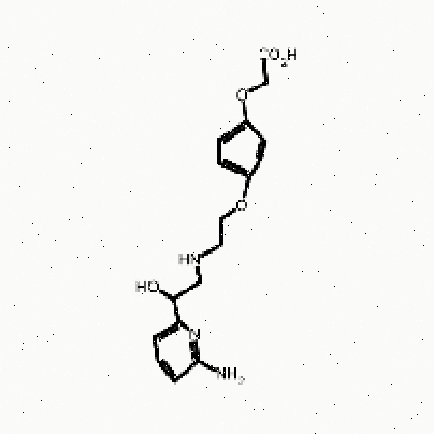 Nc1cccc(C(O)CNCCOc2ccc(OCC(=O)O)cc2)n1